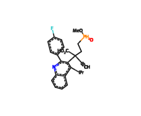 C#CC(CC[PH](=O)OC)(C(=O)O)c1c(-c2ccc(F)cc2)nc2ccccc2c1C(C)C